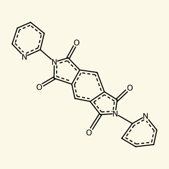 O=c1c2cc3c(=O)n(-c4ccccn4)c(=O)c3cc2c(=O)n1-c1ccccn1